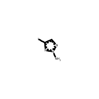 Nn1ncc(I)n1